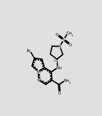 CS(=O)(=O)N1CC[C@H](Nc2c(C(N)=O)cnn3cc(Br)cc23)C1